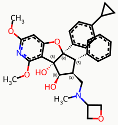 COc1cc2c(c(OC)n1)[C@]1(O)[C@H](O)[C@H](CN(C)C3COC3)[C@@H](c3ccccc3)[C@]1(c1ccc(C3CC3)cc1)O2